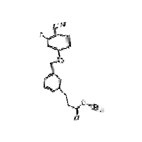 CC(C)(C)OC(=O)CCc1cccc(COc2ccc(C#N)c(F)c2)c1